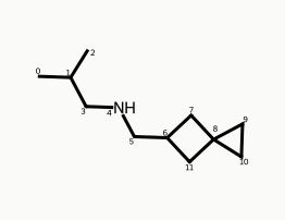 CC(C)CNCC1CC2(CC2)C1